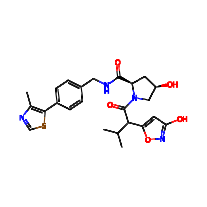 Cc1ncsc1-c1ccc(CNC(=O)[C@H]2C[C@@H](O)CN2C(=O)C(c2cc(O)no2)C(C)C)cc1